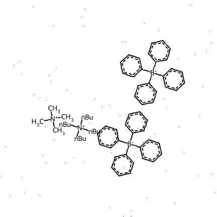 CCCC[N+](CCCC)(CCCC)CCCC.C[N+](C)(C)C.c1ccc([B-](c2ccccc2)(c2ccccc2)c2ccccc2)cc1.c1ccc([B-](c2ccccc2)(c2ccccc2)c2ccccc2)cc1